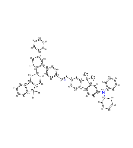 CCC1(CC)c2cc(/C=C/c3ccc(-c4cc(-c5ccccc5)ccc4C4C=CC5=C(C4)c4ccccc4C5(C)C)cc3)ccc2-c2ccc(N(c3ccccc3)C3C=CC=CC3)cc21